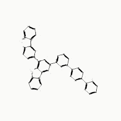 c1ccc(-c2ccc(-c3cccc(-c4cc(-c5ccc6sc7ccccc7c6c5)c5sc6ccccc6c5c4)c3)cc2)cc1